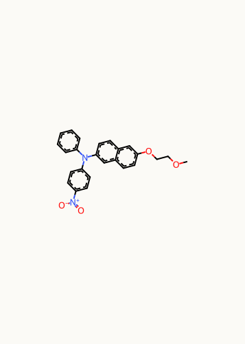 COCCOc1ccc2cc(N(c3ccccc3)c3ccc([N+](=O)[O-])cc3)ccc2c1